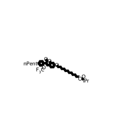 CCCCCc1ccc(-c2cc3ccc(OCCCCCCCCCCCCOC(=O)C(C)C)cc3oc2=O)c(OC(F)(F)F)c1